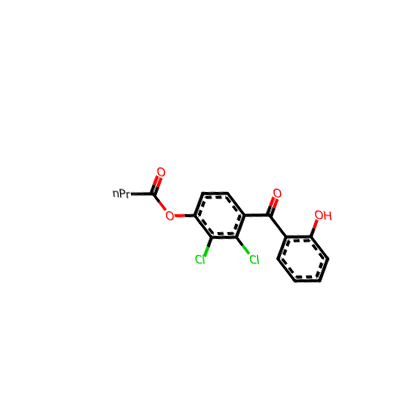 CCCC(=O)Oc1ccc(C(=O)c2ccccc2O)c(Cl)c1Cl